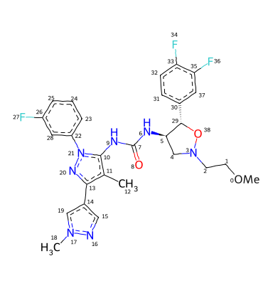 COCCN1C[C@@H](NC(=O)Nc2c(C)c(-c3cnn(C)c3)nn2-c2cccc(F)c2)[C@H](c2ccc(F)c(F)c2)O1